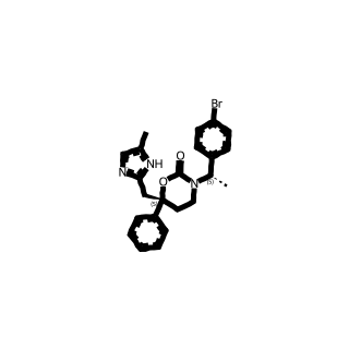 Cc1cnc(C[C@]2(c3ccccc3)CCN([C@@H](C)c3ccc(Br)cc3)C(=O)O2)[nH]1